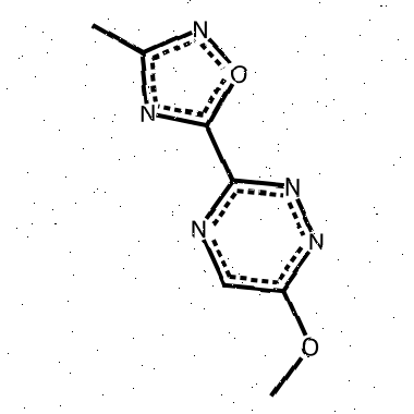 COc1cnc(-c2nc(C)no2)nn1